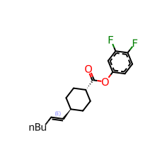 CCCC/C=C/[C@H]1CC[C@H](C(=O)Oc2ccc(F)c(F)c2)CC1